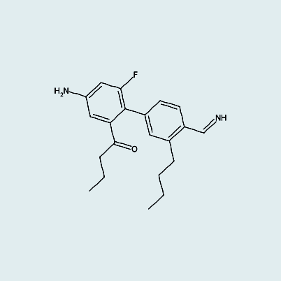 CCCCc1cc(-c2c(F)cc(N)cc2C(=O)CCC)ccc1C=N